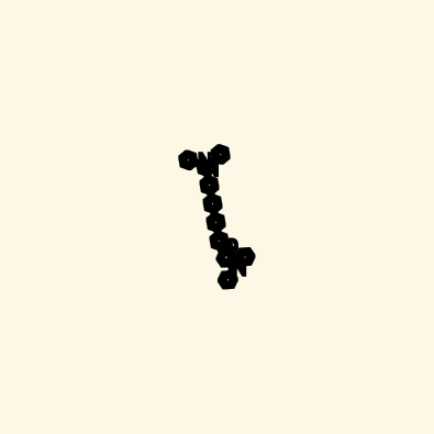 c1ccc(-c2cc(-c3ccc(-c4ccc(-c5ccc(-c6ccc7c(c6)oc6c7ccc7c(-c8ccccc8)nc8ccccc8c76)cc5)cc4)cc3)nc(-c3ccccc3)n2)cc1